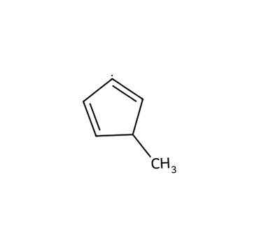 CC1C=[C]C=C1